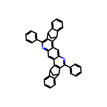 c1ccc(-c2nc3cc4c5c(c(-c6ccccc6)nc4cc3c3c2C2CC3c3ccccc32)C2CC5c3ccccc32)cc1